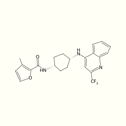 Cc1ccoc1C(=O)N[C@H]1CC[C@@H](Nc2cc(C(F)(F)F)nc3ccccc23)CC1